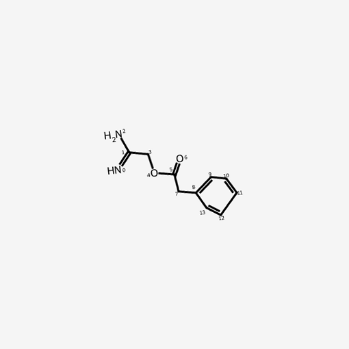 N=C(N)COC(=O)Cc1ccccc1